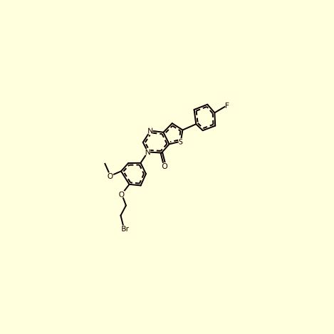 COc1cc(-n2cnc3cc(-c4ccc(F)cc4)sc3c2=O)ccc1OCCBr